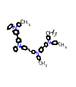 Cc1ccc(N(c2ccccc2)c2ccc(-c3ccc(N(c4ccccc4)c4ccc(CCc5ccc(N(c6ccc(C)cc6)c6ccc(-c7ccc(N(c8ccc(C)cc8)c8ccc(C)cc8)cc7)cc6)cc5)cc4)cc3)cc2)cc1